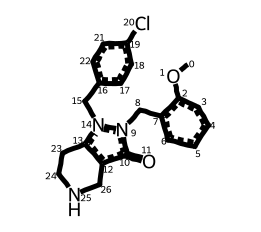 COc1ccccc1Cn1c(=O)c2c(n1Cc1ccc(Cl)cc1)CCNC2